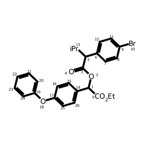 CCOC(=O)C(OC(=O)C(c1ccc(Br)cc1)C(C)C)c1ccc(Oc2ccccc2)cc1